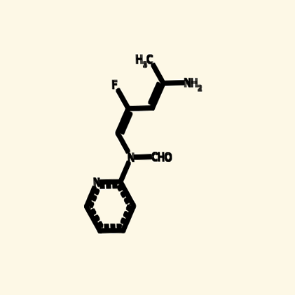 C/C(N)=C\C(F)=C/N(C=O)c1ccccn1